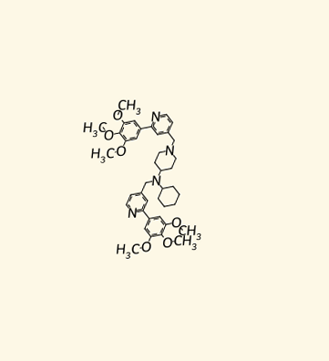 COc1cc(-c2cc(CN3CCC(N(Cc4ccnc(-c5cc(OC)c(OC)c(OC)c5)c4)C4CCCCC4)CC3)ccn2)cc(OC)c1OC